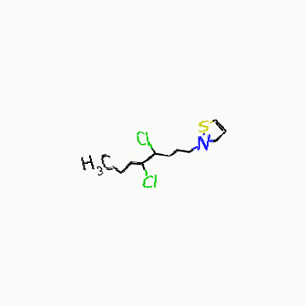 CCCC(Cl)C(Cl)CCCN1CC=CS1